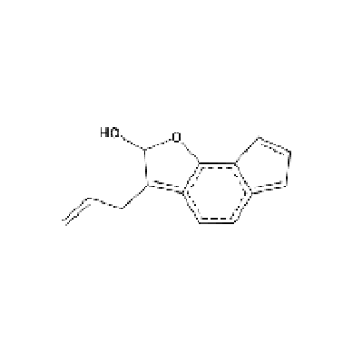 C=CCC1=c2ccc3c(c2OC1O)C=CC=3